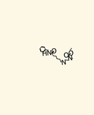 CCOC(=O)N(C)CCN(C)CCCCCC(=O)NCc1ccccc1